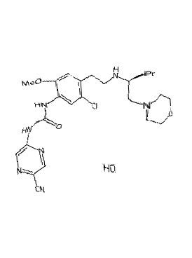 COc1cc(CCN[C@H](CN2CCOCC2)C(C)C)c(Cl)cc1NC(=O)Nc1cnc(C#N)cn1.Cl